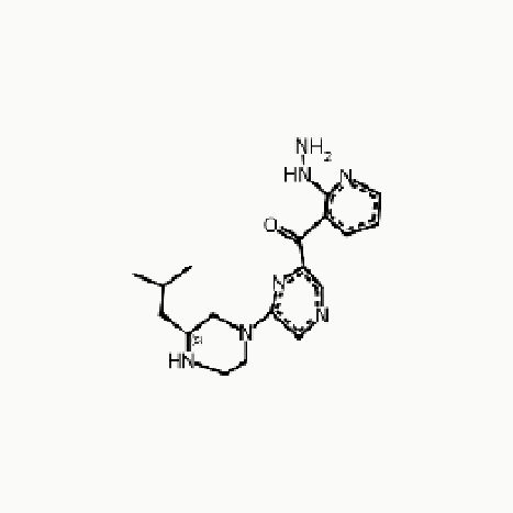 CC(C)C[C@H]1CN(c2cncc(C(=O)c3cccnc3NN)n2)CCN1